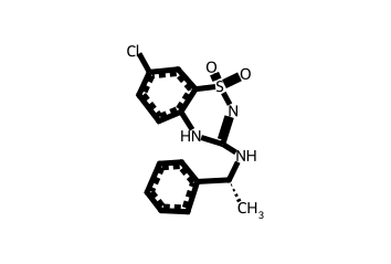 C[C@@H](NC1=NS(=O)(=O)c2cc(Cl)ccc2N1)c1ccccc1